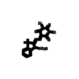 CCCCCCCN1C(=CC=C2C(=O)N(CC)C(=S)N(CC)C2=O)C(C)(C)c2ccccc21